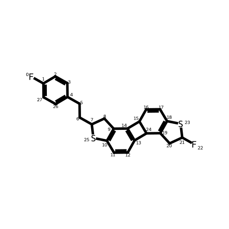 Fc1ccc(CCC2Cc3c(ccc4c3C3C=CC5=C(CC(F)S5)C43)S2)cc1